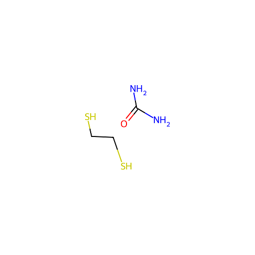 NC(N)=O.SCCS